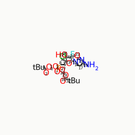 CC(C)(C)C(=O)OCOP(=O)(/C=C/[C@@]1(CCl)O[C@@H](n2ccc(N)nc2=O)[C@H](F)[C@@H]1O)OCOC(=O)C(C)(C)C